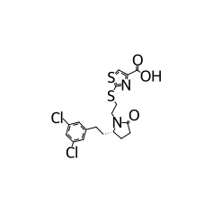 O=C(O)c1csc(SCCN2C(=O)CC[C@@H]2CCc2cc(Cl)cc(Cl)c2)n1